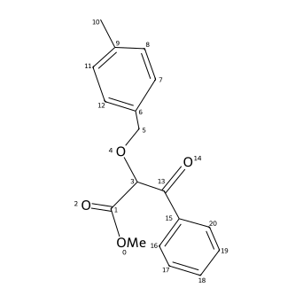 COC(=O)C(OCc1ccc(C)cc1)C(=O)c1ccccc1